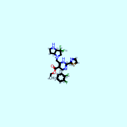 CCOC(=O)C1=C(CN2CC(F)(F)C3NCCC32)NC(c2nccs2)=N[C@@H]1c1cccc(F)c1F